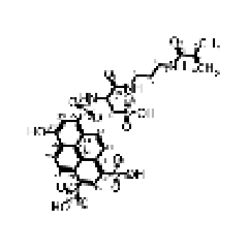 C=C(C)C(=O)NCCCNC(=O)C(CS(=O)(=O)O)NS(=O)(=O)c1cc(O)c2ccc3c(S(=O)(=O)O)cc(S(=O)(=O)O)c4ccc1c2c34